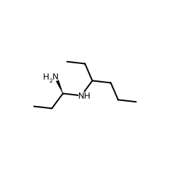 CCCC(CC)N[C@H](N)CC